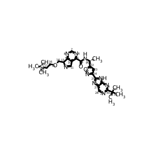 C[C@@H](NC(=O)c1ncnc2c1C=NC2COCC[Si](C)(C)C)c1cc(-c2nc3cnc(C(C)(C)C)nc3[nH]2)no1